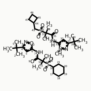 CC(C)(C)c1cc(NC(=O)C(C)(C)S(=O)(=O)C2CCCCC2)on1.Cn1nc(C(C)(C)C)cc1NC(=O)C(C)(C)S(=O)(=O)CC1CCC1